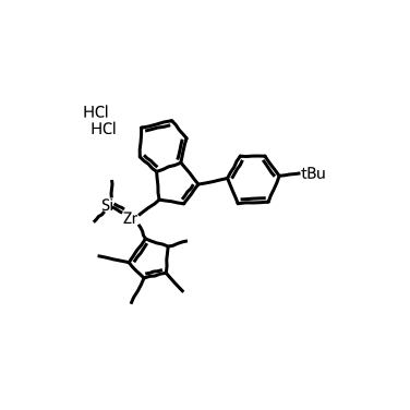 CC1=C(C)C(C)[C]([Zr]([CH]2C=C(c3ccc(C(C)(C)C)cc3)c3ccccc32)=[Si](C)C)=C1C.Cl.Cl